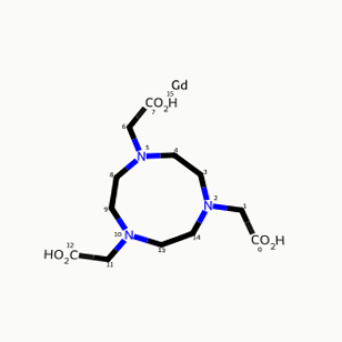 O=C(O)CN1CCN(CC(=O)O)CCN(CC(=O)O)CC1.[Gd]